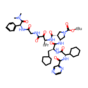 CCC[C@H](NC(=O)[C@@H]1CN(C(=O)OC(C)(C)C)C[C@@H]1NC(=O)[C@H](CC1CCCCC1)NC(=O)[C@@H](NC(=O)c1cnccn1)C1CCCCC1)C(=O)C(=O)NCC(=O)N[C@H](C(=O)N(C)C)c1ccccc1